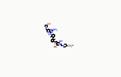 Cc1c(Nc2nc(N)nc3cc(CN4CC[C@@H](O)C4)cnc23)cccc1-c1cccc(-c2cc3c(=N)n(CCN4CCC(C(=O)O)CC4)cc(C#N)c3o2)c1C